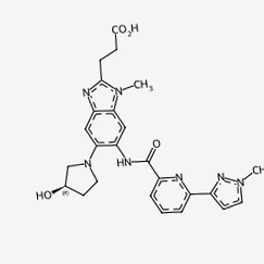 Cn1ccc(-c2cccc(C(=O)Nc3cc4c(cc3N3CC[C@@H](O)C3)nc(CCC(=O)O)n4C)n2)n1